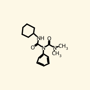 CN(C)C(=O)N(C(=O)NC1CCCCC1)c1ccccc1